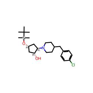 CC(C)(C)[Si](C)(C)O[C@H]1C[C@@H](O)[C@H](N2CCC(Cc3ccc(Cl)cc3)CC2)C1